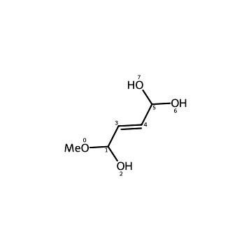 COC(O)/C=C/C(O)O